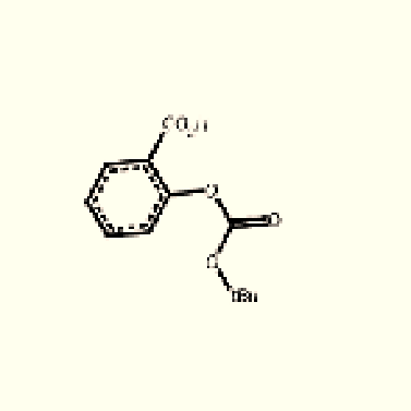 CC(C)(C)OC(=O)Oc1ccccc1C(=O)O